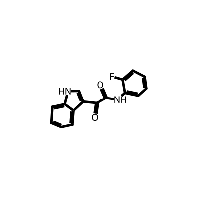 O=C(Nc1ccccc1F)C(=O)c1c[nH]c2ccccc12